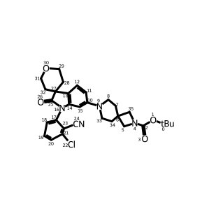 CC(C)(C)OC(=O)N1CC2(CCN(c3ccc4c(c3)N(c3cccc(Cl)c3C#N)C(=O)C43CCOCC3)CC2)C1